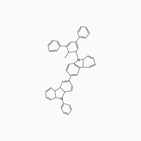 CC1C(c2ccccc2)=CC(c2ccccc2)=CC1N1c2ccc(C3=CC4C5C=CC=CC5N(c5ccccc5)C4C=C3)cc2C2C=CC=CC21